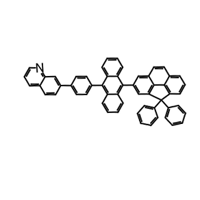 c1ccc(C2(c3ccccc3)c3cccc4ccc5cc(-c6c7ccccc7c(-c7ccc(-c8ccc9cccnc9c8)cc7)c7ccccc67)cc2c5c34)cc1